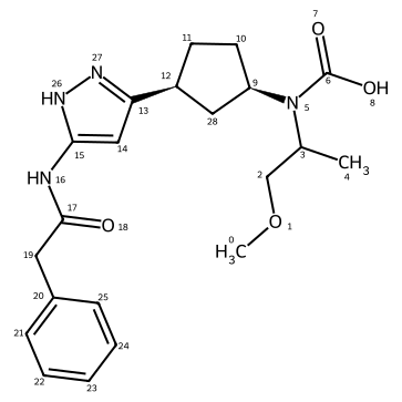 COCC(C)N(C(=O)O)[C@@H]1CC[C@H](c2cc(NC(=O)Cc3ccccc3)[nH]n2)C1